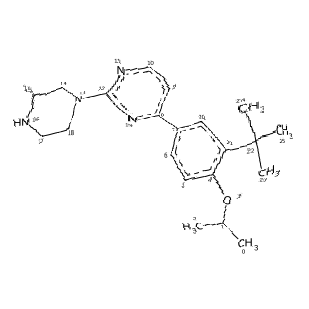 CC(C)Oc1ccc(-c2ccnc(N3CCNCC3)n2)cc1C(C)(C)C